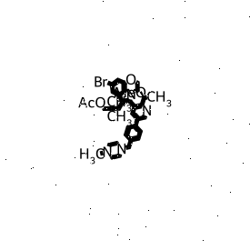 CO[C@@H](C)c1ncc(-c2ccc(CN3CCN(C)CC3)cc2)cc1-c1c(CC(C)(C)COC(C)=O)c2cc(Br)cc3c2n1CCO3